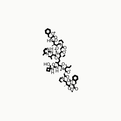 CC[C@H](CCC(C)[C@H](NC(=O)NC1(CO)CCC1)C(=O)N(C)[C@@H]([C@@H](C)CC)[C@@H](CC(=O)N1CCC[C@H]1[C@H](OC)[C@@H](C)C(=O)N[C@@H](Cc1ccccc1)C(=O)OC)OC)[C@@H]([C@@H](CC(=O)N1CCC[C@H]1[C@H](OC)[C@@H](C)C(=O)N[C@@H](Cc1ccccc1)C(=O)OC)OC)N(C)C(=O)[C@@H](Nc1nccc(C)n1)C(C)C